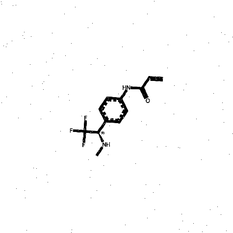 C=CC(=O)Nc1ccc([C@@H](NC)C(F)(F)F)cc1